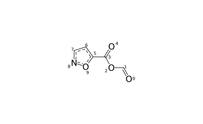 O=COC(=O)c1ccno1